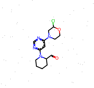 O=CC1CCCCN1c1cc(N2CCOC(Cl)C2)ncn1